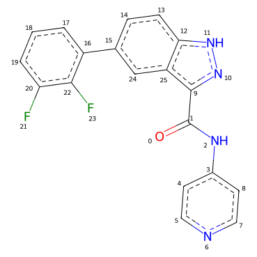 O=C(Nc1ccncc1)c1n[nH]c2ccc(-c3cccc(F)c3F)cc12